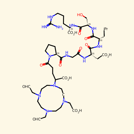 CC(C)C[C@H](NC(=O)[C@H](CC(=O)O)NC(=O)CNC(=O)[C@@H]1CCCN1C(=O)CCC(C(=O)O)N1CCN(CC=O)CCN(CC=O)CCN(CC(=O)O)CC1)C(=O)N[C@@H](CO)C(=O)N[C@@H](CCCNC(=N)N)C(=O)O